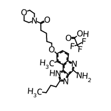 CCCCc1nc2c(N)nc3ccc(OCCCCC(=O)N4CCOCC4)c(C)c3c2[nH]1.O=C(O)C(F)(F)F